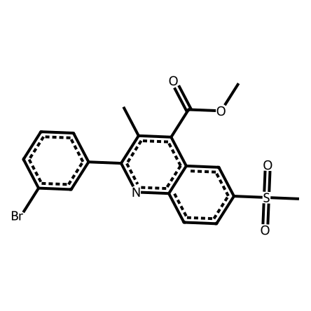 COC(=O)c1c(C)c(-c2cccc(Br)c2)nc2ccc(S(C)(=O)=O)cc12